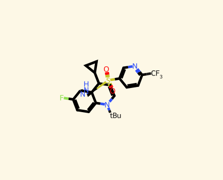 CC(C)(C)N1C=CC(C2CC2)C23C1=CC=C(F)C2=NN[C@@H]3S(=O)(=O)c1ccc(C(F)(F)F)nc1